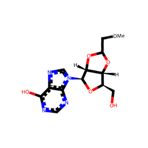 COCC1O[C@@H]2[C@H](O1)[C@@H](CO)O[C@H]2n1cnc2c(O)ncnc21